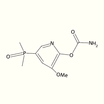 COc1cc(P(C)(C)=O)cnc1OC(N)=O